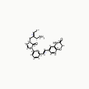 NC/C(=C\F)Cn1ncn(-c2cccc(/C=C/c3cnc4c(c3)NC(=O)CO4)n2)c1=O